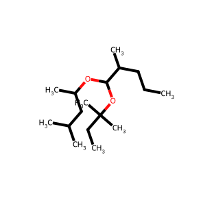 CCCC(C)C(OC(C)CC(C)C)OC(C)(C)CC